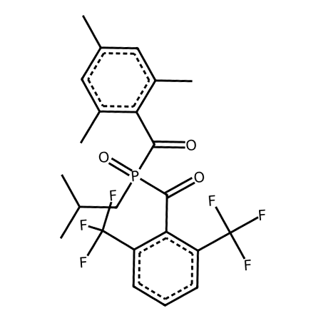 Cc1cc(C)c(C(=O)P(=O)(CC(C)C)C(=O)c2c(C(F)(F)F)cccc2C(F)(F)F)c(C)c1